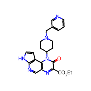 CCOC(=O)c1nc2cnc3[nH]ccc3c2n(C2CCN(Cc3cccnc3)CC2)c1=O